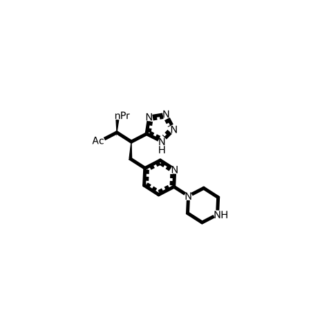 CCC[C@H](C(C)=O)[C@H](Cc1ccc(N2CCNCC2)nc1)c1nnn[nH]1